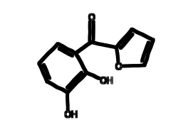 O=C(c1ccco1)c1cccc(O)c1O